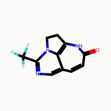 O=C1C=CC2=CN=C(C(F)(F)F)N3CCC(=C23)N1